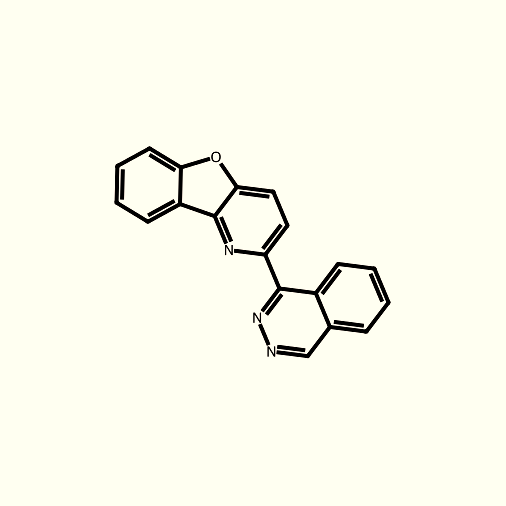 c1ccc2c(-c3ccc4oc5ccccc5c4n3)nncc2c1